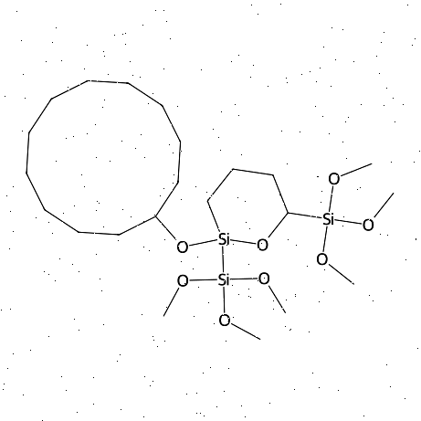 CO[Si](OC)(OC)C1CCC[Si](OC2CCCCCCCCCCC2)([Si](OC)(OC)OC)O1